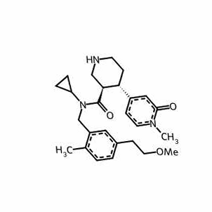 COCCc1ccc(C)c(CN(C(=O)[C@H]2CNCC[C@@H]2c2ccn(C)c(=O)c2)C2CC2)c1